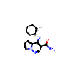 C[C@H]1CCCC[C@H]1Nc1c(C(N)=O)cnn2cccc12